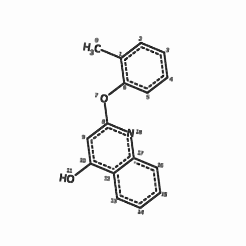 Cc1ccccc1Oc1cc(O)c2ccccc2n1